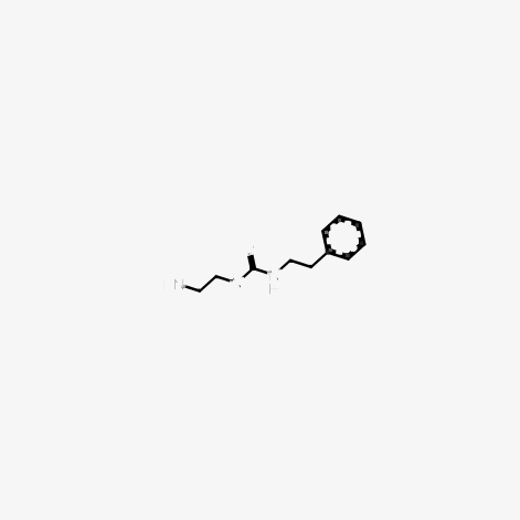 NCCNC(=O)NCCc1ccccc1